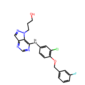 OCCCn1ncc2ncnc([AsH]c3ccc(OCc4cccc(F)c4)c(Cl)c3)c21